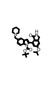 CC(C)Oc1cc2c(c(-c3cc4cc(CN5CCCCC5)ccc4n3C(=O)OC(C)(C)C)c1)C(=O)NC2